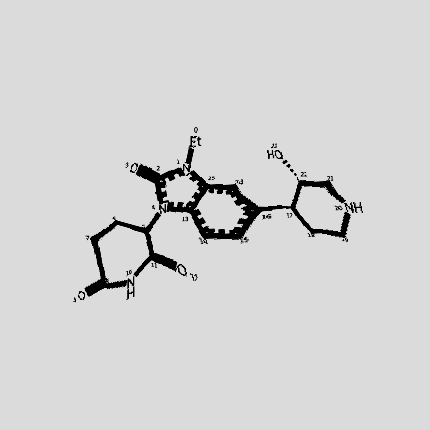 CCn1c(=O)n(C2CCC(=O)NC2=O)c2ccc([C@@H]3CCNC[C@H]3O)cc21